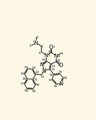 CN(C)CCn1c(=O)n(C)c(=O)c2c(-c3ccncc3)n(Cc3cccc4ccccc34)nc21